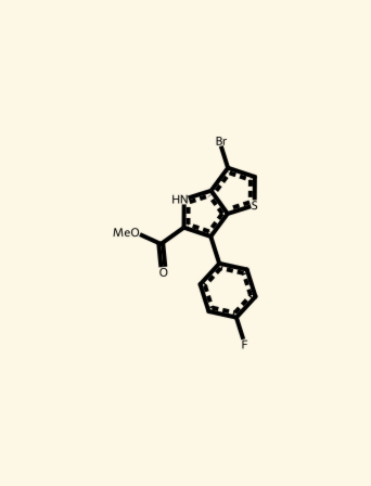 COC(=O)c1[nH]c2c(Br)csc2c1-c1ccc(F)cc1